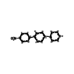 O=[N+]([O-])c1ccc(-c2ncc(-c3ccncc3)cn2)cc1